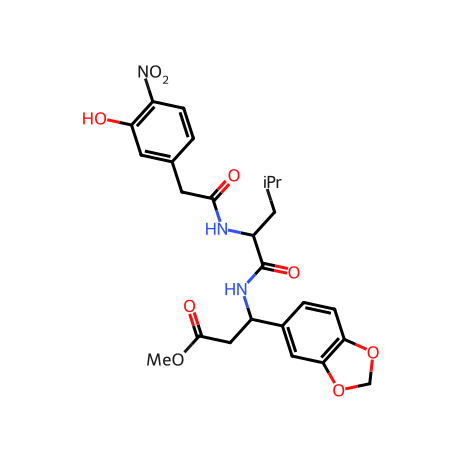 COC(=O)CC(NC(=O)C(CC(C)C)NC(=O)Cc1ccc([N+](=O)[O-])c(O)c1)c1ccc2c(c1)OCO2